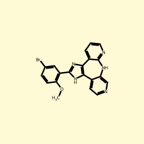 COc1ccc(Br)cc1-c1nc2c([nH]1)-c1ccncc1Nc1ncccc1-2